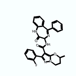 CC1CCn2nc(-c3ccccc3F)c(C(=O)NC3N=C(c4ccccc4)c4ccccc4NC3=O)c2O1